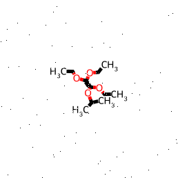 CCOC(OCC)=C(OCC)OC(C)C